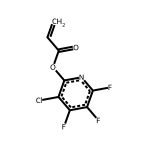 C=CC(=O)Oc1nc(F)c(F)c(F)c1Cl